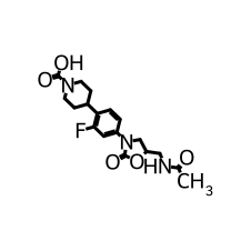 CC(=O)NCC1CN(c2ccc(C3CCN(C(=O)O)CC3)c(F)c2)C(=O)O1